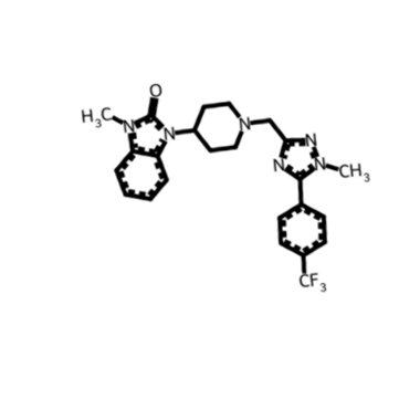 Cn1nc(CN2CCC(n3c(=O)n(C)c4ccccc43)CC2)nc1-c1ccc(C(F)(F)F)cc1